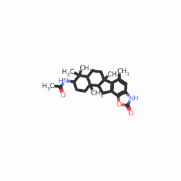 CC(=O)NC1CCC2(C)C3Cc4c(c(C)cc5[nH]c(=O)oc45)C3(C)CCC2C1(C)C